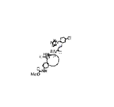 COC(=O)Nc1ccc2c(c1)CCCCCC[C@H](NC(=O)/C=C/c1cc(Cl)ccc1-n1cnnn1)c1nc-2c(Cl)[nH]1